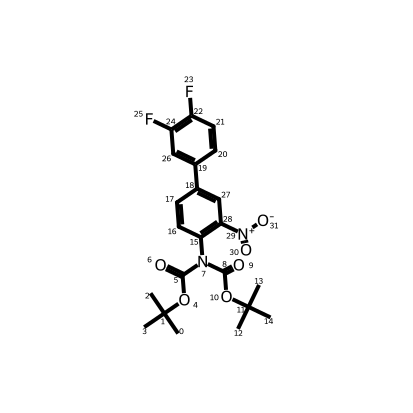 CC(C)(C)OC(=O)N(C(=O)OC(C)(C)C)c1ccc(-c2ccc(F)c(F)c2)cc1[N+](=O)[O-]